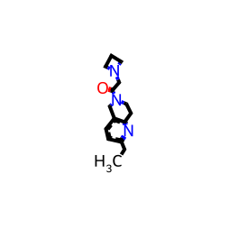 CCc1ccc2c(n1)CCN(C(=O)CN1CCC1)C2